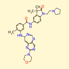 Cc1ccc(C(=O)Nc2ccc3c(c2)C(C)(C)C(=O)N3CCN2CCCC2)cc1NC1C=c2nc(N3CCOCC3)ncc2=NC=N1